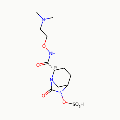 CN(C)CCONC(=O)[C@@H]1CCC2CN1C(=O)N2OS(=O)(=O)O